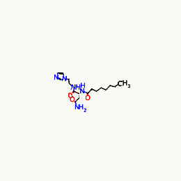 CCCCCCCC(=O)N[C@H](CC(N)=O)C(=O)NCCn1ccnc1